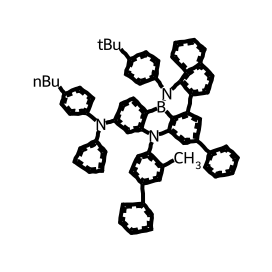 CCCCc1ccc(N(c2ccccc2)c2ccc3c(c2)N(c2ccc(-c4ccccc4)cc2C)c2cc(-c4ccccc4)cc4c2B3N(c2ccc(C(C)(C)C)cc2)c2c-4ccc3ccccc23)cc1